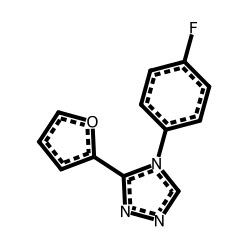 Fc1ccc(-n2cnnc2-c2ccco2)cc1